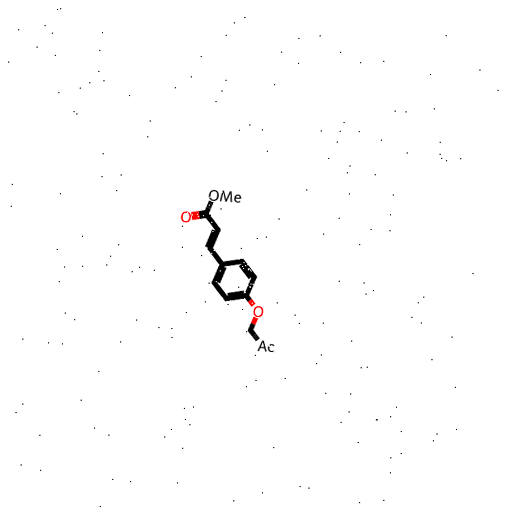 COC(=O)C=Cc1ccc(OCC(C)=O)cc1